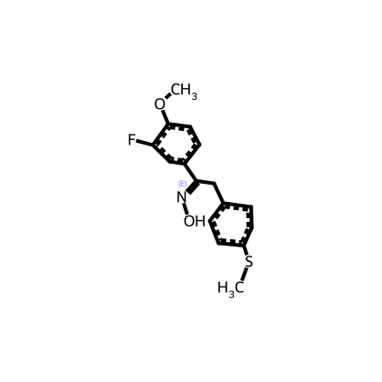 COc1ccc(/C(Cc2ccc(SC)cc2)=N/O)cc1F